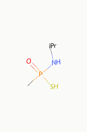 CC(C)NP(C)(=O)S